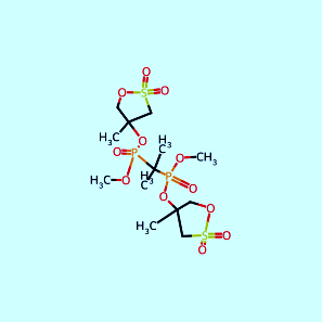 COP(=O)(OC1(C)COS(=O)(=O)C1)C(C)(C)P(=O)(OC)OC1(C)COS(=O)(=O)C1